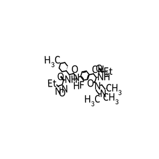 CCC(=O)N[C@@H](C(=O)N1C[C@@H](C)N(C)[C@@H](C)C1)[C@@H](C)c1ccc(NC(=O)[C@@H](NC(=O)c2nonc2CC)[C@H]2CC[C@H](C)CC2)c(F)c1